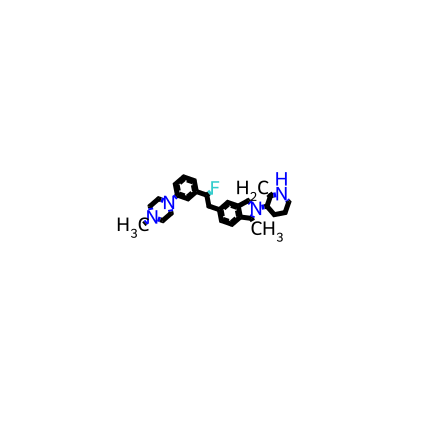 C=C1NCCCC1N1Cc2cc(CC(F)c3cccc(N4CCN(C)CC4)c3)ccc2C1C